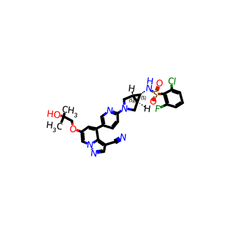 CC(C)(O)COc1cc(-c2ccc(N3C[C@@H]4[C@H](C3)[C@H]4NS(=O)(=O)c3c(F)cccc3Cl)nc2)c2c(C#N)cnn2c1